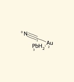 N#[C][Au].[PbH2]